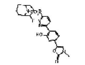 Cn1cc(-c2ccc(-c3ccc(OC4CC5CCCC(C4F)N5C(=O)O)nn3)c(O)c2)oc1=O